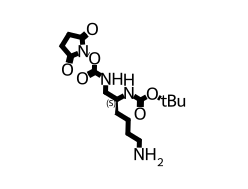 CC(C)(C)OC(=O)N[C@@H](CCCCN)CNC(=O)ON1C(=O)CCC1=O